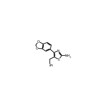 CC(C)Cc1sc(N)nc1-c1ccc2c(c1)OCO2